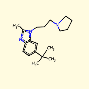 Cc1nc2ccc(C(C)(C)C)cc2n1CCCN1CCCC1